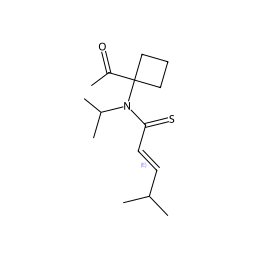 CC(=O)C1(N(C(=S)/C=C/C(C)C)C(C)C)CCC1